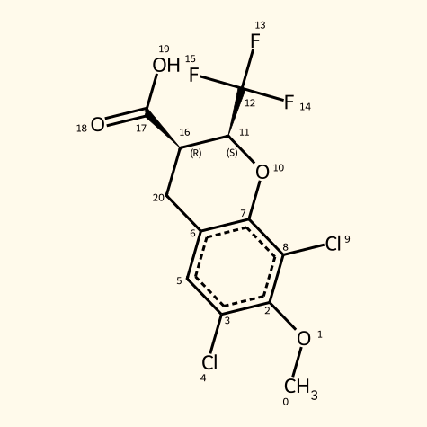 COc1c(Cl)cc2c(c1Cl)O[C@H](C(F)(F)F)[C@H](C(=O)O)C2